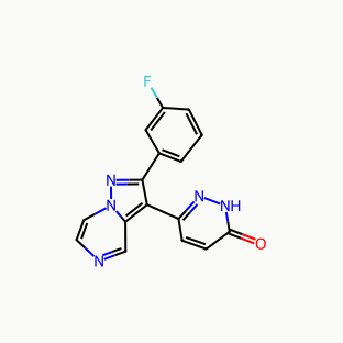 O=c1ccc(-c2c(-c3cccc(F)c3)nn3ccncc23)n[nH]1